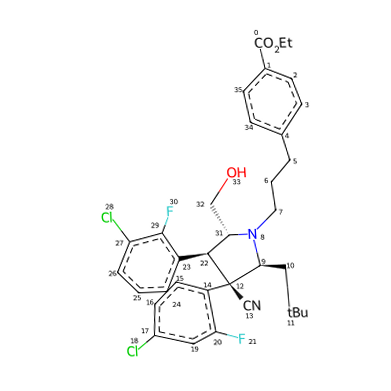 CCOC(=O)c1ccc(CCCN2[C@@H](CC(C)(C)C)[C@](C#N)(c3ccc(Cl)cc3F)[C@@H](c3cccc(Cl)c3F)[C@@H]2CO)cc1